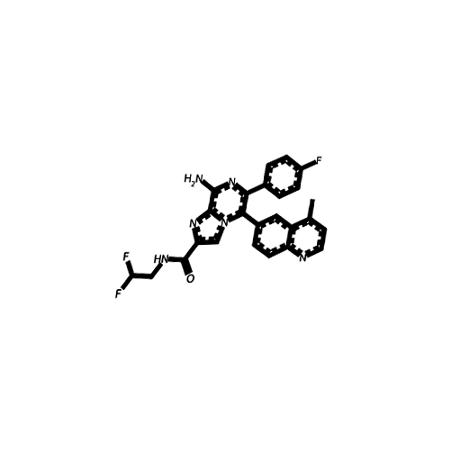 Cc1ccnc2ccc(-c3c(-c4ccc(F)cc4)nc(N)c4nc(C(=O)NCC(F)F)cn34)cc12